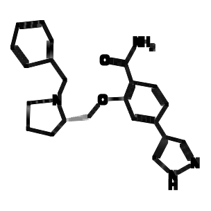 NC(=O)c1ccc(-c2cn[nH]c2)cc1OC[C@@H]1CCCN1Cc1ccccc1